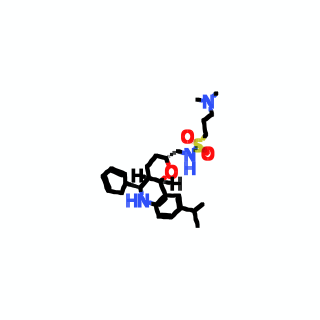 CC(C)c1ccc2c(c1)[C@H]1O[C@@H](CNS(=O)(=O)CCCN(C)C)CC[C@H]1[C@H](C1C=CC=CC1)N2